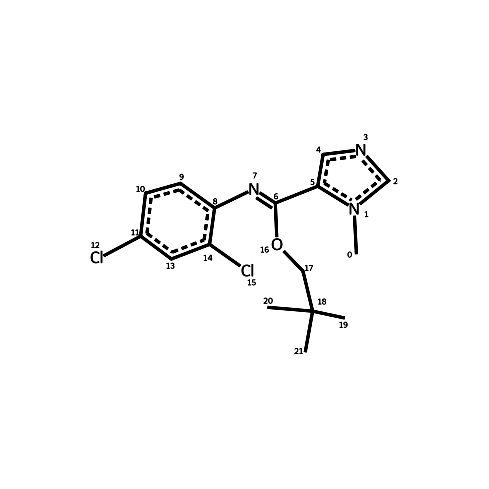 Cn1cncc1C(=Nc1ccc(Cl)cc1Cl)OCC(C)(C)C